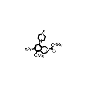 CCCc1cc(N2CCN(C)CC2)c2c(c1OC)CCN(C(=O)OC(C)(C)C)C2